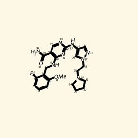 COc1cccc(F)c1CNc1nc(Nc2cnn(CCN3CCCC3)c2)ncc1C(N)=O